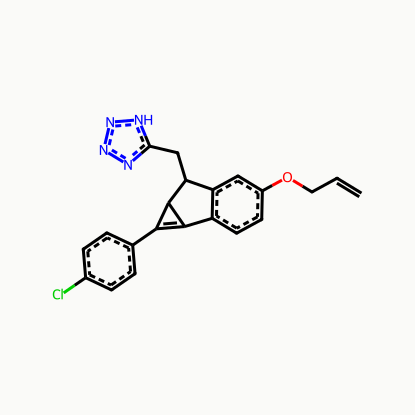 C=CCOc1ccc2c(c1)C(Cc1nnn[nH]1)C1C(c3ccc(Cl)cc3)=C21